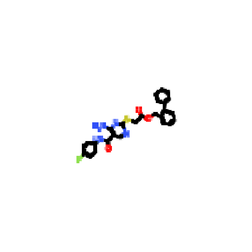 Nc1nc(SCC(=O)OCc2ccccc2-c2ccccc2)ncc1C(=O)Nc1ccc(F)cc1